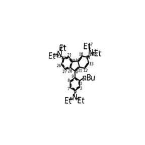 CCCCc1cc(N(CC)CC)ccc1C1=C2C=CC(=[N+](CC)CC)C=C2c2cc(N(CC)CC)ccc21